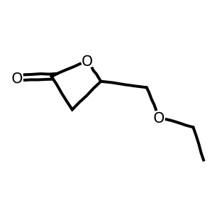 CCOCC1CC(=O)O1